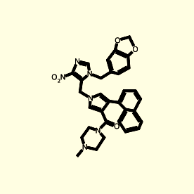 CN1CCN(C(=O)c2cn(Cc3c([N+](=O)[O-])ncn3Cc3ccc4c(c3)OCO4)cc2-c2cccc3ccccc23)CC1